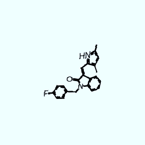 Cc1cc(C)c(C=C2C(=O)N(Cc3ccc(F)cc3)c3ccccc32)[nH]1